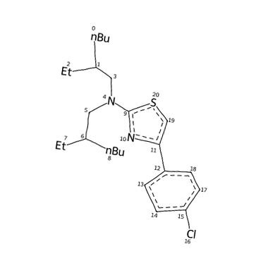 CCCCC(CC)CN(CC(CC)CCCC)c1nc(-c2ccc(Cl)cc2)cs1